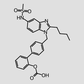 CCCCc1nc2cc(NS(C)(=O)=O)ccc2n1Cc1ccc(-c2ccccc2OC(=O)O)cc1